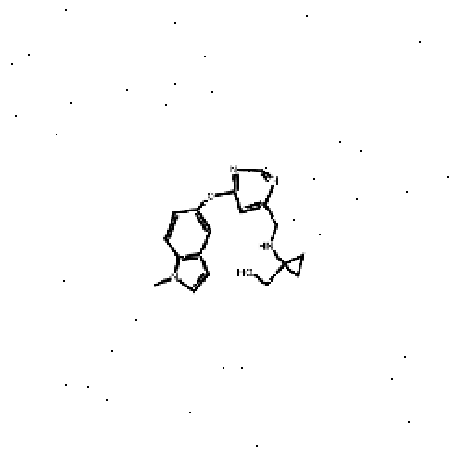 Cn1ccc2cc(Oc3cc(CNC4(CO)CC4)ncn3)ccc21